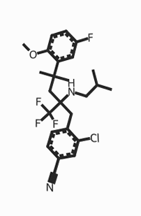 COc1ccc(F)cc1C(C)(C)CC(Cc1ccc(C#N)cc1Cl)(NCC(C)C)C(F)(F)F